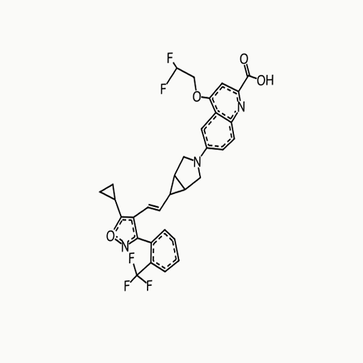 O=C(O)c1cc(OCC(F)F)c2cc(N3CC4C(C=Cc5c(-c6ccccc6C(F)(F)F)noc5C5CC5)C4C3)ccc2n1